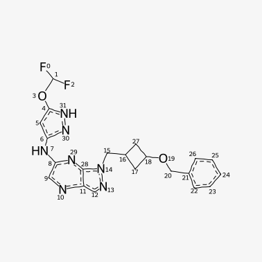 FC(F)Oc1cc(Nc2cnc3cnn(CC4CC(OCc5ccccc5)C4)c3n2)n[nH]1